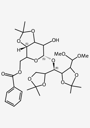 COC(OC)C1OC(C)(C)OC1[C@H](O[C@@H]1OC(COC(=O)c2ccccc2)[C@@H]2OC(C)(C)OC2C1O)C1COC(C)(C)O1